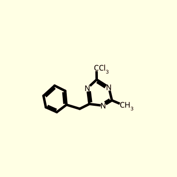 Cc1nc(Cc2ccccc2)nc(C(Cl)(Cl)Cl)n1